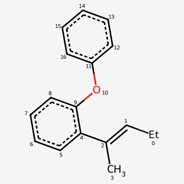 [CH2]CC=C(C)c1ccccc1Oc1ccccc1